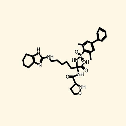 Cc1cc(-c2ccccc2)cc(C)c1S(=O)(=O)NC(CCCCCNc1nc2c([nH]1)CCCC2)(NC(=O)C1CCON1)C(=O)O